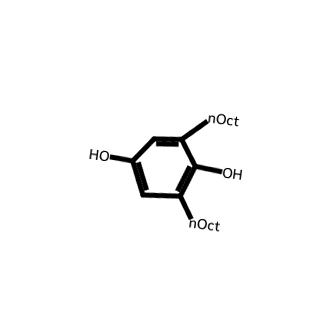 CCCCCCCCc1cc(O)cc(CCCCCCCC)c1O